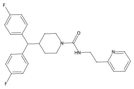 O=C(NCCc1ccccn1)N1CCC(C(c2ccc(F)cc2)c2ccc(F)cc2)CC1